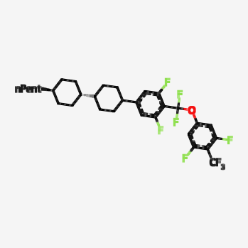 CCCCC[C@H]1CC[C@H](C2CCC(c3cc(F)c(C(F)(F)Oc4cc(F)c(C(F)(F)F)c(F)c4)c(F)c3)CC2)CC1